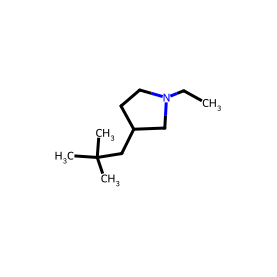 CCN1CCC(CC(C)(C)C)C1